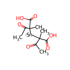 CC(=O)[C](C)([Sn][C](C)(C(C)=O)C(=O)O)C(=O)O